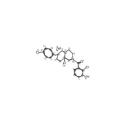 O=C(c1cccc(O)c1Cl)N1CCN2C[C@](O)(c3ccc(Cl)cc3)CC[C@H]2C1